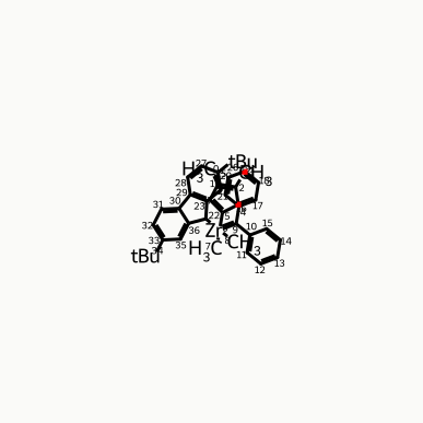 CC1=C(C)C[C]([Zr]([CH3])([CH3])(=[C](c2ccccc2)c2ccccc2)[CH]2c3cc(C(C)(C)C)ccc3-c3ccc(C(C)(C)C)cc32)=C1